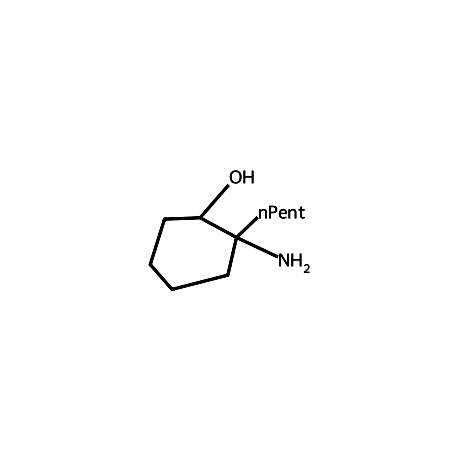 CCCCCC1(N)CCCCC1O